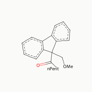 CCCCCC(=O)C1(COC)c2ccccc2-c2ccccc21